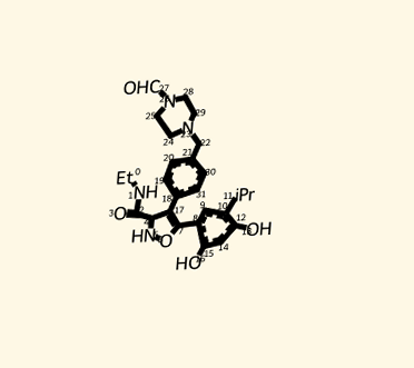 CCNC(=O)C1NOC(c2cc(C(C)C)c(O)cc2O)=C1c1ccc(CN2CCN(C=O)CC2)cc1